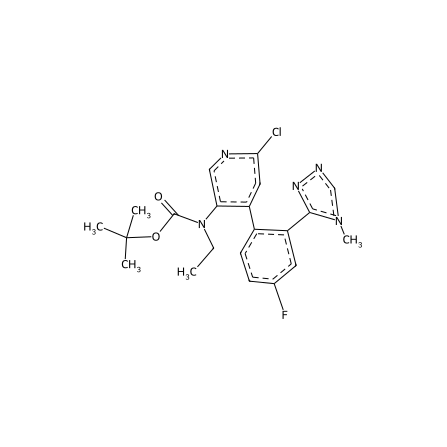 CCN(C(=O)OC(C)(C)C)c1cnc(Cl)cc1-c1ccc(F)cc1-c1nncn1C